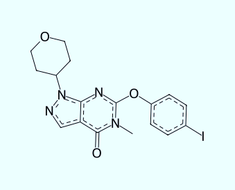 Cn1c(Oc2ccc(I)cc2)nc2c(cnn2C2CCOCC2)c1=O